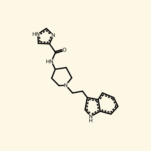 O=C(NC1CCN(CCc2c[nH]c3ccccc23)CC1)c1c[nH]cn1